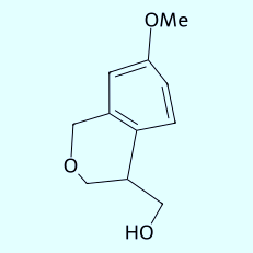 COc1ccc2c(c1)COCC2CO